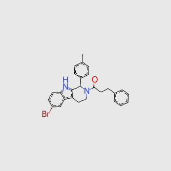 Cc1ccc(C2c3[nH]c4ccc(Br)cc4c3CCN2C(=O)CCc2ccccc2)cc1